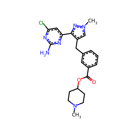 CN1CCC(OC(=O)c2cccc(Cc3cn(C)nc3-c3cc(Cl)nc(N)n3)c2)CC1